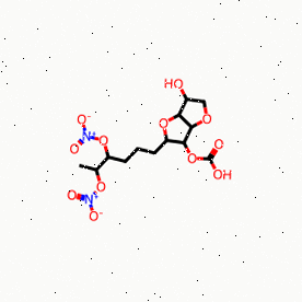 CC(O[N+](=O)[O-])C(CCCC1OC2C(O)COC2C1OC(=O)O)O[N+](=O)[O-]